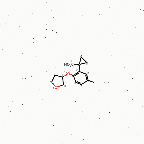 Cc1ccc(O[C@@H]2CCOC2)c(C2(C(=O)O)CC2)c1